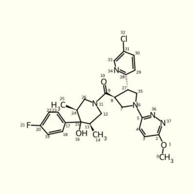 COc1ccc(N2C[C@@H](C(=O)N3C[C@@H](C)C(O)(c4ccc(F)cc4)[C@@H](C)C3)[C@H](c3ccc(Cl)cn3)C2)nn1